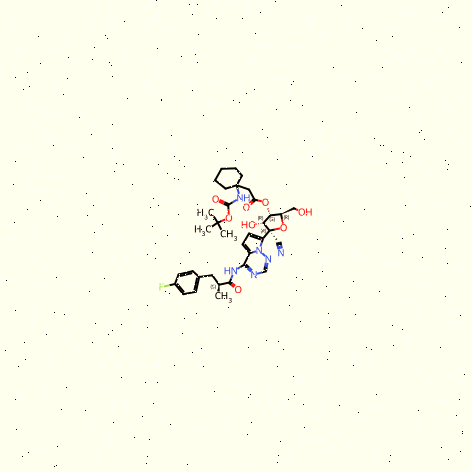 C[C@@H](Cc1ccc(F)cc1)C(=O)Nc1ncnn2c([C@]3(C#N)O[C@H](CO)[C@@H](OC(=O)CC4(NC(=O)OC(C)(C)C)CCCCC4)[C@H]3O)ccc12